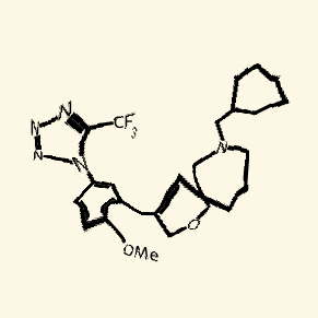 COc1ccc(-n2nnnc2C(F)(F)F)cc1C1=CC2(CCCN(CC3CCCCC3)C2)OC1